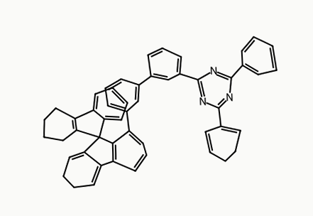 C1=CC(c2nc(-c3ccccc3)nc(-c3cccc(-c4cccc(-c5cccc6c5C5(C7=CCCC=C76)C6=C(CCCC6)c6ccccc65)c4)c3)n2)=CCC1